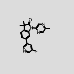 Cc1cnc(N2C(=O)C(C)(C)c3ccc(-c4cncc(F)c4)cc32)cn1